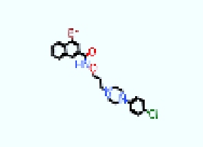 O=C(NOCCCN1CCN(c2ccc(Cl)cc2)CC1)c1cc(Br)c2ccccc2c1